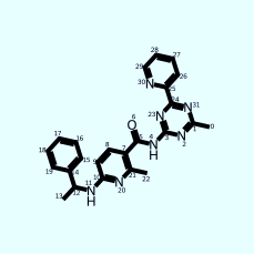 Cc1nc(NC(=O)c2ccc(NC(C)c3ccccc3)nc2C)nc(-c2ccccn2)n1